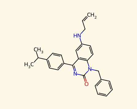 C=CCNc1ccc2c(c1)c(-c1ccc(C(C)C)cc1)nc(=O)n2Cc1ccccc1